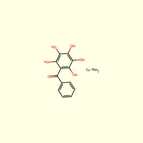 O=C(c1ccccc1)c1c(O)c(O)c(O)c(O)c1O.[Cu].[PbH2]